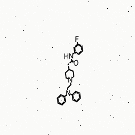 O=C(CC1CCN(CCN(c2ccccc2)c2ccccc2)CC1)Nc1cccc(F)c1